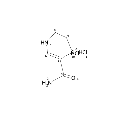 Cl.Cl.NC(=O)C1=CNCCS1